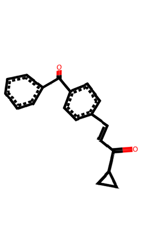 O=C(c1ccccc1)c1ccc(C=CC(=O)C2CC2)cc1